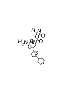 NC(=O)OC(=O)NCC(OC(N)=O)c1ccc(-c2ccccc2)s1